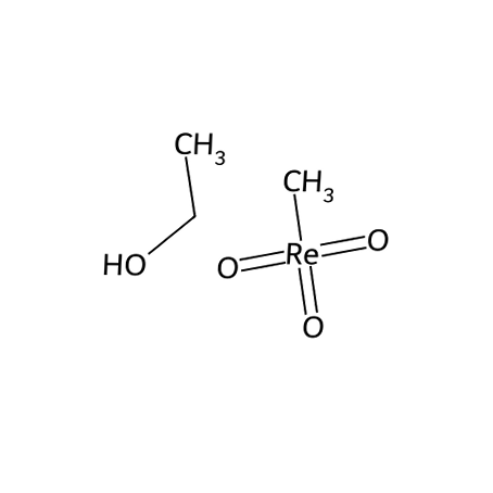 CCO.[CH3][Re](=[O])(=[O])=[O]